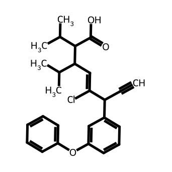 C#CC(C(Cl)=CC(C(C)C)C(C(=O)O)C(C)C)c1cccc(Oc2ccccc2)c1